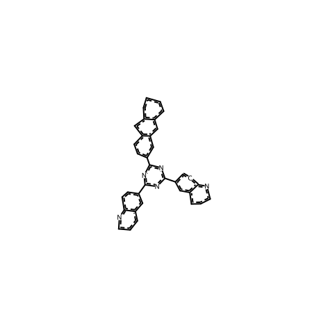 c1ccc2cc3cc(-c4nc(-c5ccc6ncccc6c5)nc(-c5ccc6ncccc6c5)n4)ccc3cc2c1